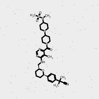 Cc1c(NC[C@@H]2CCC[C@H](c3ccc(C(C)(C)C#N)cc3)O2)ncnc1C(=O)N1CCC(N2CCC(N(C)S(C)(=O)=O)CC2)CC1